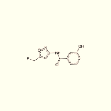 O=C(Nc1cc(CF)on1)c1cccc(O)c1